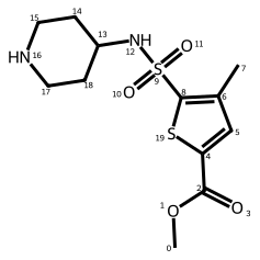 COC(=O)c1cc(C)c(S(=O)(=O)NC2CCNCC2)s1